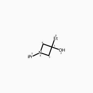 CCC1(O)CN(C(C)C)C1